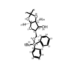 CC1(C)O[C@@H]2O[C@H](CO[Si](c3ccccc3)(c3ccccc3)C(C)(C)C)C(O)[C@@H]2O1